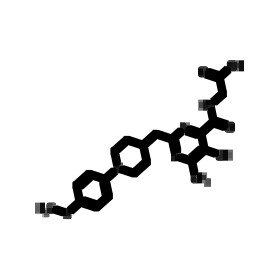 CSc1ccc(N2CCC(Cc3nc(C)c(O)c(C(=O)NCC(=O)O)n3)CC2)cc1